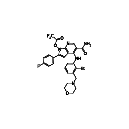 CCc1c(CN2CCOCC2)cccc1Nc1c(C(N)=O)cnc2c1cc(-c1ccc(F)cc1)n2OC(=O)C(F)(F)F